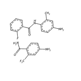 Cc1cc(N)ccc1NC(=O)c1ccccc1F.NC(=O)c1ccc(N)cc1C(F)(F)F